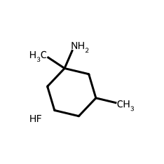 CC1CCCC(C)(N)C1.F